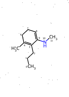 CCCC1=C(C)CCC=C1NC